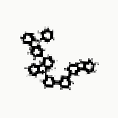 c1ccc(-n2c3ccccc3c3ccc(-c4cccc5c4c4ccccc4n5-c4cccc(-c5cccc(-c6ccc7sc8ccccc8c7c6)c5)c4)cc32)cc1